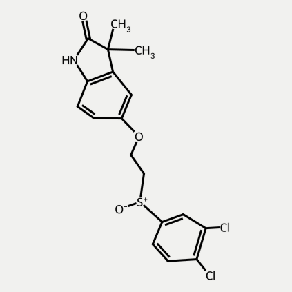 CC1(C)C(=O)Nc2ccc(OCC[S+]([O-])c3ccc(Cl)c(Cl)c3)cc21